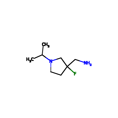 CC(C)N1CCC(F)(CN)C1